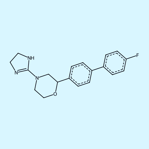 Fc1ccc(-c2ccc(C3CN(C4=NCCN4)CCO3)cc2)cc1